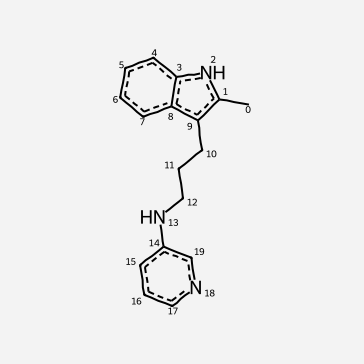 Cc1[nH]c2ccccc2c1CCCNc1cccnc1